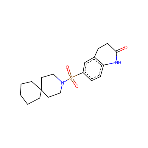 O=C1CCc2cc(S(=O)(=O)N3CCC4(CCCCC4)CC3)ccc2N1